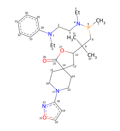 CCN(CCN(CC)P(C)CC(C)(C)C1CC2(CCN(c3ccon3)CC2)C(=O)O1)c1ccccc1